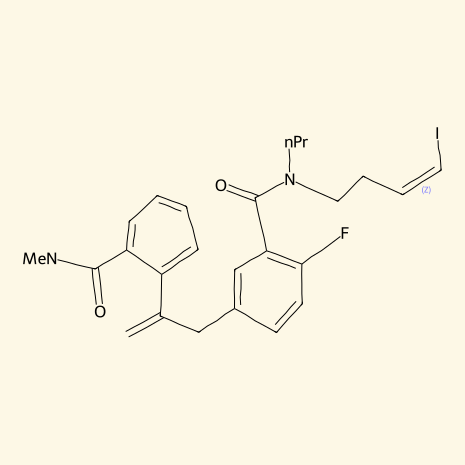 C=C(Cc1ccc(F)c(C(=O)N(CCC)CC/C=C\I)c1)c1ccccc1C(=O)NC